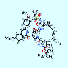 COc1cc2cc(-c3ccc(OC(C)C)cc3)nc(O[C@@H]3C[C@H]4C(=O)N[C@]5(C(=O)NS(=O)(=O)C6(C)CC6)C[C@H]5/C=C\CC[C@H](C)C[C@@H](C)[C@H](NC(=O)OC(C)(C)C(F)(F)F)C(=O)N4C3)c2cc1F